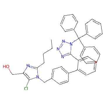 CCCCc1nc(CO)c(Cl)n1Cc1ccc(-c2ccccc2-c2nnnn2C(c2ccccc2)(c2ccccc2)c2ccccc2)cc1